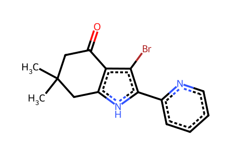 CC1(C)CC(=O)c2c([nH]c(-c3ccccn3)c2Br)C1